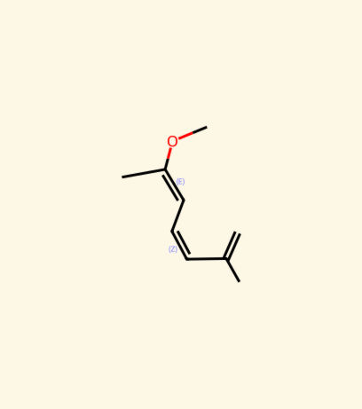 C=C(C)/C=C\C=C(/C)OC